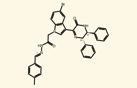 Cc1ccc(/C=N/NC(=O)Cn2cc(C3=N[C@@H](c4ccccc4)[C@H](c4ccccc4)NC3=O)c3cc(Br)ccc32)cc1